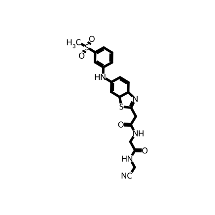 CS(=O)(=O)c1cccc(NC2=CC3SC(CC(=O)NCC(=O)NCC#N)=NC3C=C2)c1